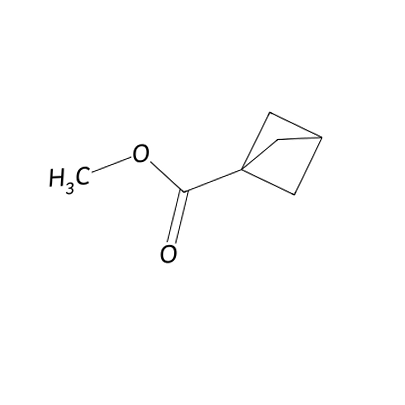 COC(=O)C12CC(C1)C2